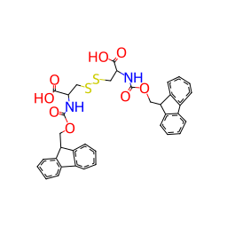 O=C(NC(CSSCC(NC(=O)OCC1c2ccccc2-c2ccccc21)C(=O)O)C(=O)O)OCC1c2ccccc2-c2ccccc21